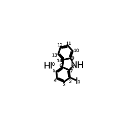 I.Ic1cccc2c1[nH]c1ccccc12